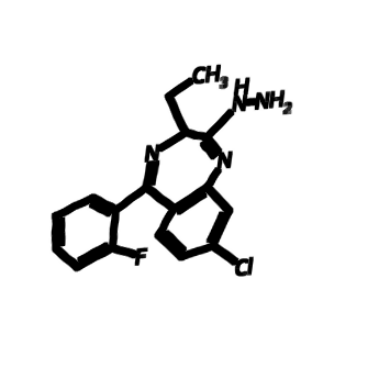 CCC1N=C(c2ccccc2F)c2ccc(Cl)cc2N=C1NN